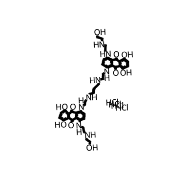 Cl.Cl.Cl.Cl.O=C1c2c(O)ccc(O)c2C(=O)c2c(NCCNCCO)ccc(NCCNCC=CCNCCNc3ccc(NCCNCCO)c4c3C(=O)c3c(O)ccc(O)c3C4=O)c21